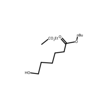 CCCCOC(=O)CCCCCO.CCOC(C)=O